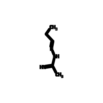 CC/C=N/NC(C)=N